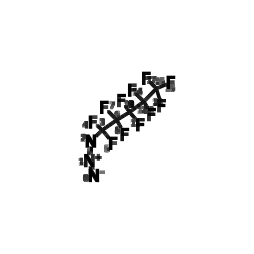 [N-]=[N+]=NC(F)(F)C(F)(F)C(F)(F)C(F)(F)C(F)(F)F